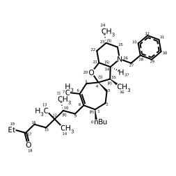 CCCC[C@@H]1CC[C@@]2(CC(C)=C1C[C@@H](C)C(C)(C)CCC(=O)CC)OC1C[C@H](C)CN(Cc3ccccc3)[C@H]1[C@H]2C